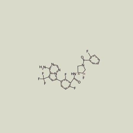 Nc1ncnn2c(-c3ccc(F)c(C(=O)N[C@@H]4CN(C(=O)c5ccccc5F)C[C@@H]4F)c3F)cc(C(F)(F)F)c12